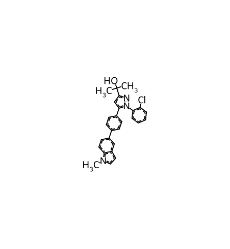 Cn1ccc2cc(-c3ccc(-c4cc(C(C)(C)O)nn4-c4ccccc4Cl)cc3)ccc21